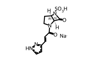 O=C(C=Cc1cc[nH]n1)N1CC[C@@H]2[C@H]1C(=O)N2S(=O)(=O)O.[Na]